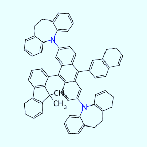 CC1(C)C2=C(CCC=C2)c2cccc(-c3c4ccc(N5C6=C(CCC=C6)CCc6ccccc65)cc4c(-c4ccc5c(c4)CCC=C5)c4ccc(N5c6ccccc6CCc6ccccc65)cc34)c21